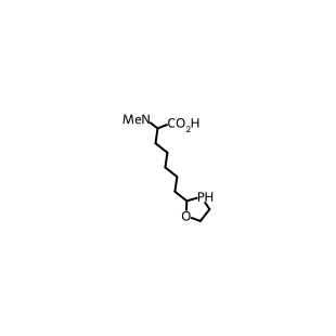 CNC(CCCCCC1OCCP1)C(=O)O